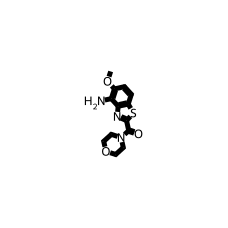 COc1ccc2sc(C(=O)N3CCOCC3)nc2c1N